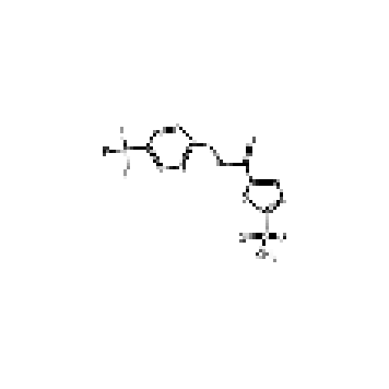 CS(=O)(=O)c1ccc(C(=O)NCc2ccc(C(F)(F)F)cn2)s1